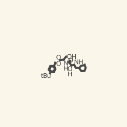 CC(C)(C)c1ccc(COC(=O)C(CO)NC(=O)[C@H](O)[C@H](N)CC2CCCCC2)cc1